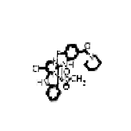 CS(=O)(=O)Nc1ccccc1Nc1nc(Nc2cc(C(=O)N3CCCCC3)ccc2F)ncc1Cl